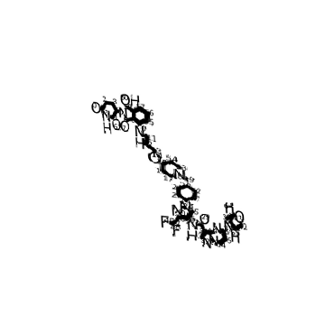 O=C1CCC(N2C(=O)c3c(NCCCOC4CCN(C[C@H]5CC[C@H](n6cc(NC(=O)c7cnn8ccc(N9C[C@H]%10C[C@@H]9CO%10)nc78)c(C(F)F)n6)CC5)CC4)cccc3C2O)C(=O)N1